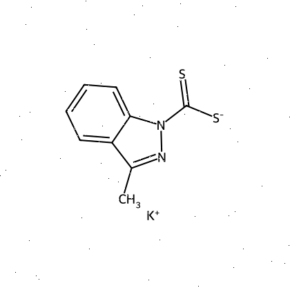 Cc1nn(C(=S)[S-])c2ccccc12.[K+]